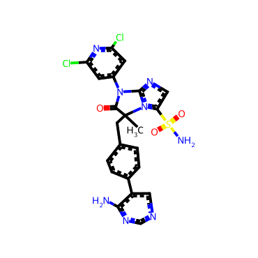 CC1(Cc2ccc(-c3cncnc3N)cc2)C(=O)N(c2cc(Cl)nc(Cl)c2)c2ncc(S(N)(=O)=O)n21